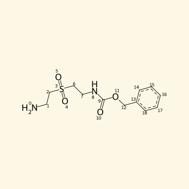 NCCS(=O)(=O)CCNC(=O)OCc1ccccc1